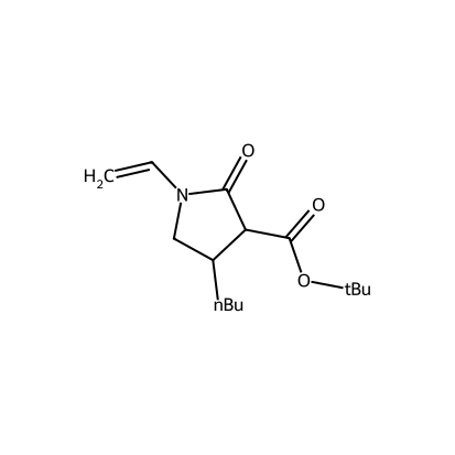 C=CN1CC(CCCC)C(C(=O)OC(C)(C)C)C1=O